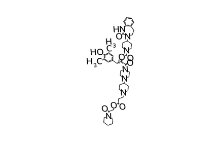 Cc1cc(C[C@@H](OC(=O)N2CCC(N3CCc4ccccc4NC3=O)CC2)C(=O)N2CCN(C3CCN(CCC(=O)OCC(=O)N4CCCCC4)CC3)CC2)cc(C)c1O